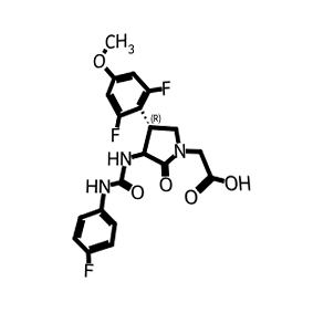 COc1cc(F)c([C@@H]2CN(CC(=O)O)C(=O)C2NC(=O)Nc2ccc(F)cc2)c(F)c1